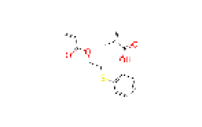 C=C(C)C(=O)O.C=CC(=O)OCCSc1ccccc1